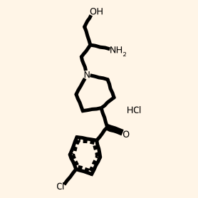 Cl.NC(CO)CN1CCC(C(=O)c2ccc(Cl)cc2)CC1